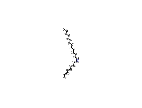 [CH2]CCCCCCCCCCCC/C=C\CCCCCCCC